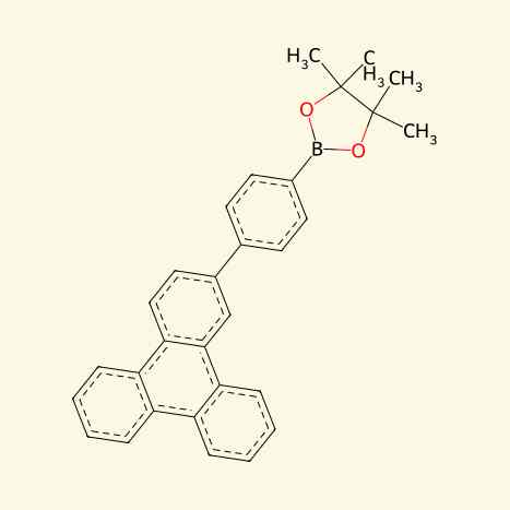 CC1(C)OB(c2ccc(-c3ccc4c5ccccc5c5ccccc5c4c3)cc2)OC1(C)C